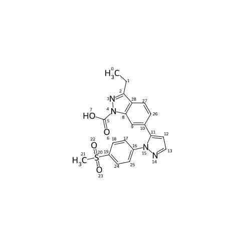 CCc1nn(C(=O)O)c2cc(-c3ccnn3-c3ccc(S(C)(=O)=O)cc3)ccc12